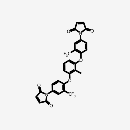 Cc1c(Oc2ccc(N3C(=O)C=CC3=O)cc2C(F)(F)F)cccc1Oc1ccc(N2C(=O)C=CC2=O)cc1C(F)(F)F